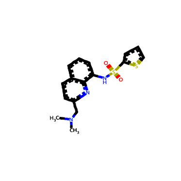 CN(C)Cc1ccc2cccc(NS(=O)(=O)c3cccs3)c2n1